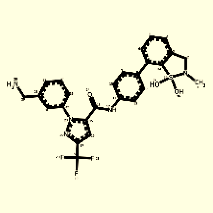 CN1Cc2cccc(-c3ccc(NC(=O)c4cc(C(F)(F)F)nn4-c4cccc(CN)c4)cc3)c2S1(O)O